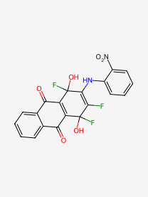 O=C1C2=C(C(=O)c3ccccc31)C(O)(F)C(Nc1ccccc1[N+](=O)[O-])=C(F)C2(O)F